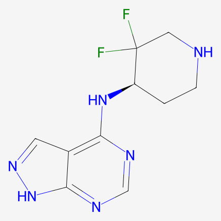 FC1(F)CNCC[C@H]1Nc1ncnc2[nH]ncc12